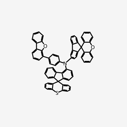 c1ccc2c(c1)Oc1ccccc1C21c2ccccc2-c2cc(N(c3ccc(-c4cccc5c4oc4ccccc45)cc3)c3cccc4c3-c3ccccc3C43c4ccccc4Sc4ccccc43)ccc21